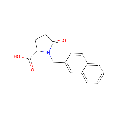 O=C(O)C1CCC(=O)N1Cc1ccc2ccccc2c1